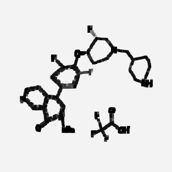 CCCCn1cc(-c2cc(F)c(O[C@@H]3CCN(CC4CCNCC4)C[C@H]3F)c(F)c2)c2ccncc2c1=O.O=C(O)C(F)(F)F